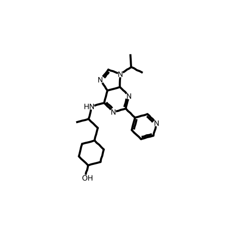 CC(CC1CCC(O)CC1)NC1=NC(c2cccnc2)=NC2C1N=CN2C(C)C